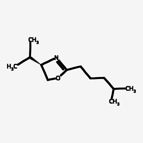 CC(C)CCCC1=N[C@@H](C(C)C)CO1